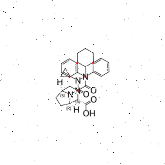 O=C(O)[C@@H]1[C@H]2CC[C@@H](CN1C(=O)N(c1ccccc1)c1ccccc1)N2C(=O)N(CC1CCCCC1)C1CC1